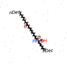 CCCCCCCCCCCCCCCCCCCC(=O)CCCCCCCCCCC(=O)N[C@@H](CO)CCCCCCCCCCCCCCCC